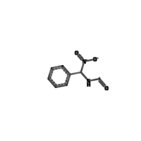 O=[C]NC(c1ccccc1)[N+](=O)[O-]